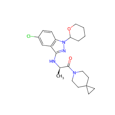 C[C@@H](Nc1nn(C2CCCCO2)c2ccc(Cl)cc12)C(=O)N1CCC2(CC1)CC2